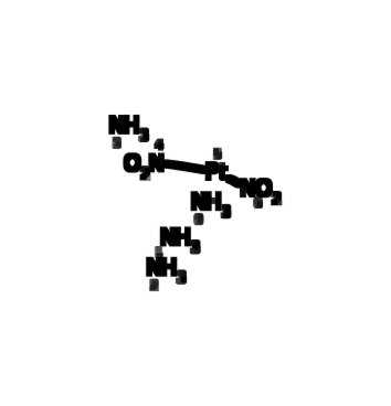 N.N.N.N.O=[N+]([O-])[Pt][N+](=O)[O-]